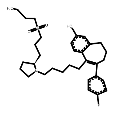 O=S(=O)(CCC[C@@H]1CCCN1CCCCCC1=C(c2ccc(F)cc2)CCCc2cc(O)ccc21)CCCC(F)(F)F